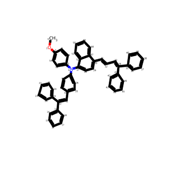 COc1ccc(N(c2ccc(C=C(c3ccccc3)c3ccccc3)cc2)c2ccc(/C=C/C=C(c3ccccc3)c3ccccc3)c3ccccc23)cc1